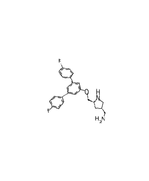 NC[C@@H]1CN[C@H](COc2cc(-c3ccc(F)cc3)cc(-c3ccc(F)cc3)c2)C1